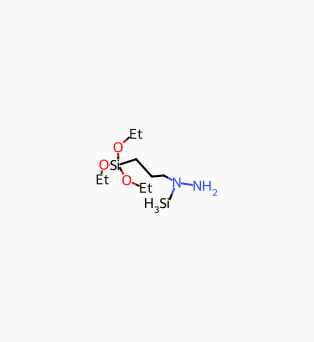 CCO[Si](CCCN(N)[SiH3])(OCC)OCC